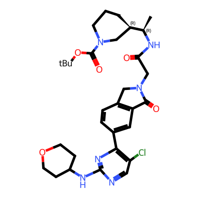 C[C@@H](NC(=O)CN1Cc2ccc(-c3nc(NC4CCOCC4)ncc3Cl)cc2C1=O)[C@@H]1CCCN(C(=O)OC(C)(C)C)C1